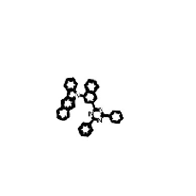 c1ccc(-c2nc(-c3ccccc3)nc(-c3cc(-n4c5ccccc5c5cc6ccccc6cc54)c4ccccc4c3)n2)cc1